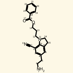 N#Cc1cc(CCN)cc2c1N(CCCOC(=O)c1ccccc1)CC2